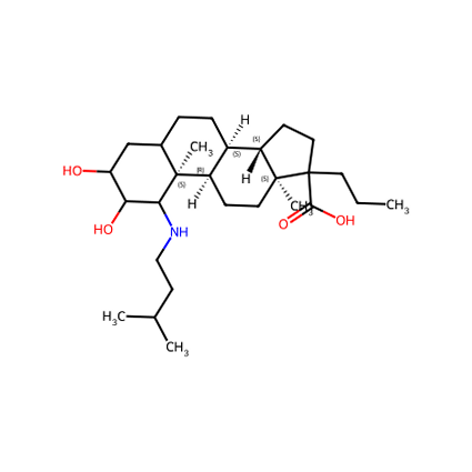 CCCC1(C(=O)O)CC[C@H]2[C@@H]3CCC4CC(O)C(O)C(NCCC(C)C)[C@]4(C)[C@@H]3CC[C@@]21C